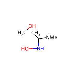 CNC(C)NO.CO